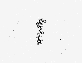 O=C(CCC(=O)ON1C(=O)CCC1=O)OCCC1=CC=CC1